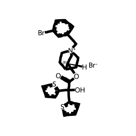 O=C(O[C@H]1C[N+]2(Cc3cccc(Br)c3)CCC1CC2)C(O)(c1cccs1)c1cccs1.[Br-]